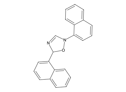 C1=NC(c2cccc3ccccc23)ON1c1cccc2ccccc12